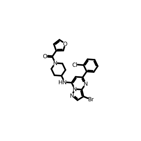 O=C(c1ccoc1)N1CCC(Nc2cc(-c3ccccc3Cl)nc3c(Br)cnn23)CC1